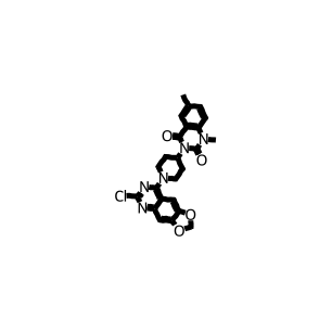 Cc1ccc2c(c1)c(=O)n(C1CCN(c3nc(Cl)nc4cc5c(cc34)OCO5)CC1)c(=O)n2C